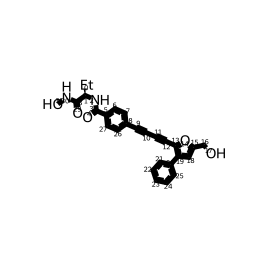 CC[C@H](NC(=O)c1ccc(C#CC#Cc2oc(CO)cc2-c2ccccc2)cc1)C(=O)NO